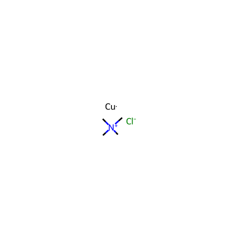 C[N+](C)(C)C.[Cl-].[Cu]